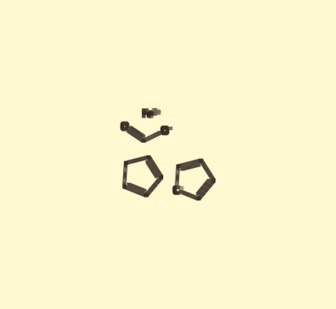 C1=CCC=C1.O=C[O-].[Fe+2].c1cc[cH-]c1